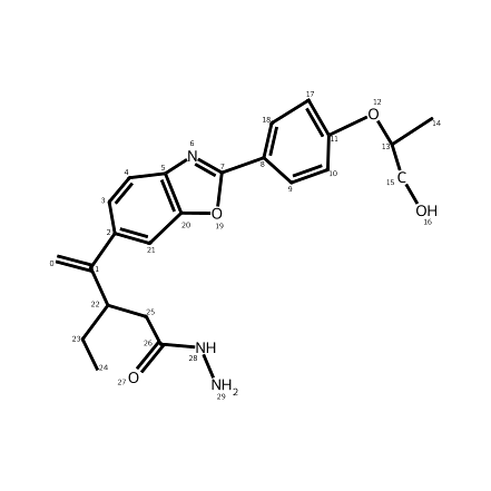 C=C(c1ccc2nc(-c3ccc(OC(C)CO)cc3)oc2c1)C(CC)CC(=O)NN